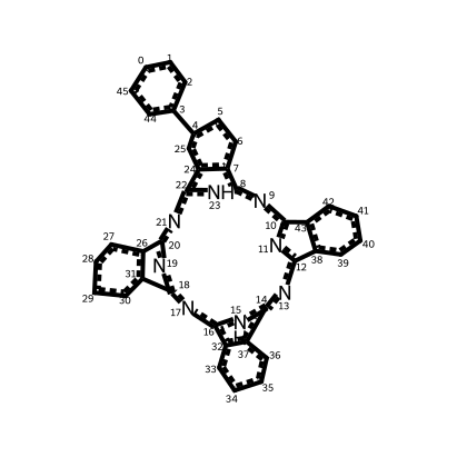 c1ccc(-c2ccc3c4nc5nc(nc6[nH]c(nc7nc(nc([nH]4)c3c2)-c2ccccc2-7)c2ccccc62)-c2ccccc2-5)cc1